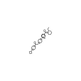 CCC1CCCCN1C(=O)c1ccc(N2CCN(CC(=O)N3CCN(C4CCC4)CC3)CC2)nc1